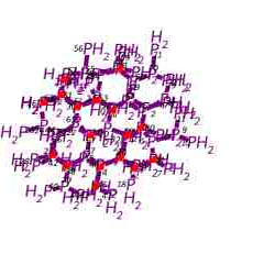 PPP(P)P(P(P(P)P)P(P)P)P(P(P(P)P)P(P)P)P(P(P(P(P(P)P)P(P)P)P(P(P)P)P(P)P)P(P(P(P)P)P(P)P)P(P(P)P)P(P)P)P(P(P(P(P)P)P(P)P)P(P(P)P)P(P)P)P(P(P(P)P)P(P)P)P(P(P)P)P(P)P